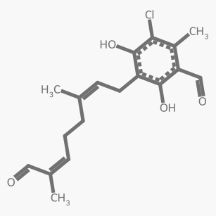 CC(C=O)=CCCC(C)=CCc1c(O)c(Cl)c(C)c(C=O)c1O